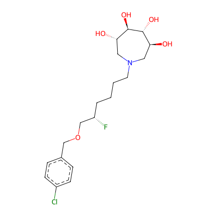 O[C@H]1[C@H](O)[C@@H](O)CN(CCCC[C@H](F)COCc2ccc(Cl)cc2)C[C@@H]1O